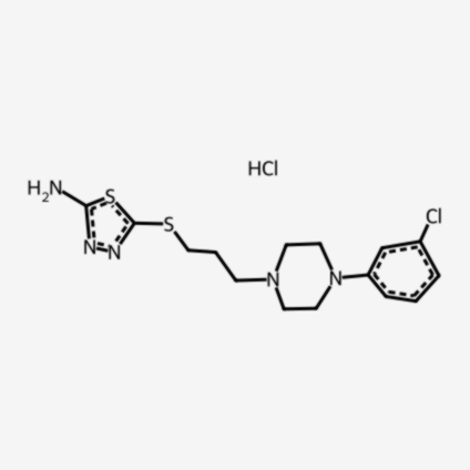 Cl.Nc1nnc(SCCCN2CCN(c3cccc(Cl)c3)CC2)s1